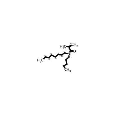 C=C(C)C(=O)N(CCCCC)CCCCCCCC